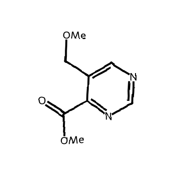 COCc1cncnc1C(=O)OC